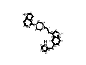 c1cc2[nH]ccc2c(N2CCN(CCc3c[nH]c4ccc(Cc5cnc[nH]5)cc34)CC2)n1